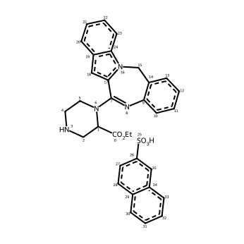 CCOC(=O)C1CNCCN1C1=Nc2ccccc2Cn2c1cc1ccccc12.O=S(=O)(O)c1ccc2ccccc2c1